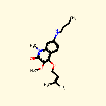 CCCCNc1ccc2c(OCC=C(C)C)c(OC)c(=O)n(C)c2c1